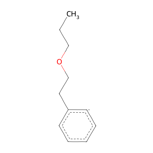 CCCOCCc1[c]cccc1